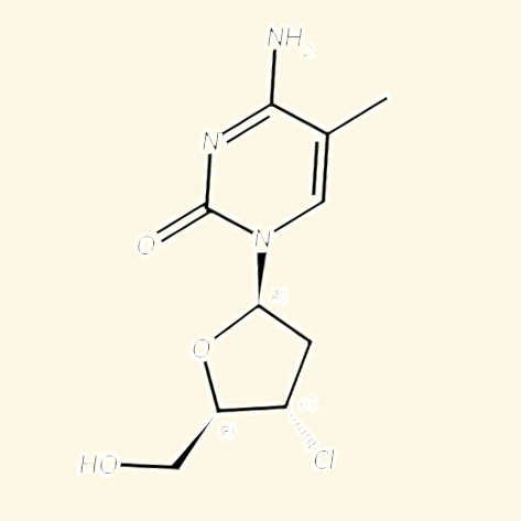 Cc1cn([C@H]2C[C@H](Cl)[C@@H](CO)O2)c(=O)nc1N